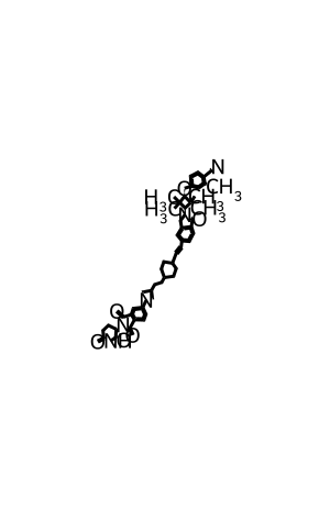 Cc1cc(O[C@H]2C(C)(C)[C@H](N3Cc4cc(C#CC5CCC(CCC6CN(c7ccc8c(c7)C(=O)N(C7CCC(=O)NC7=O)C8=O)C6)CC5)ccc4C3=O)C2(C)C)ccc1C#N